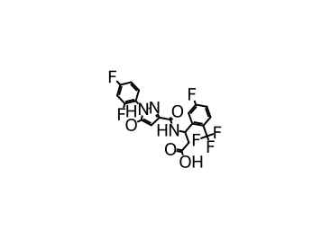 O=C(O)CC(NC(=O)c1cc(O)n(-c2ccc(F)cc2F)n1)c1cc(F)ccc1C(F)(F)F